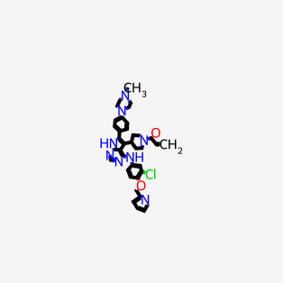 C=CC(=O)N1CCC(c2c(-c3ccc(N4CCN(C)CC4)cc3)[nH]c3ncnc(Nc4ccc(OCc5ccccn5)c(Cl)c4)c23)CC1